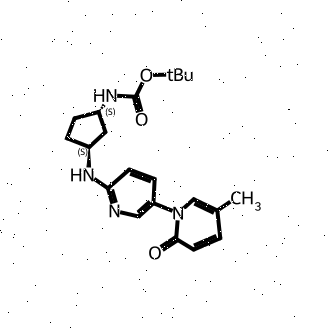 Cc1ccc(=O)n(-c2ccc(N[C@H]3CC[C@H](NC(=O)OC(C)(C)C)C3)nc2)c1